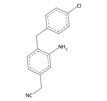 N#CCc1ccc(Cc2ccc(Cl)cc2)c(N)c1